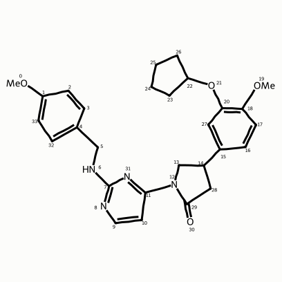 COc1ccc(CNc2nccc(N3CC(c4ccc(OC)c(OC5CCCC5)c4)CC3=O)n2)cc1